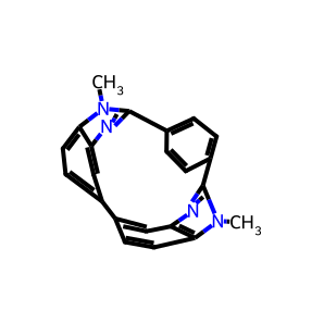 Cn1c2ccc3cc2nc1c1ccc(cc1)c1nc2cc3ccc2n1C